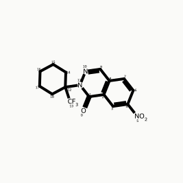 O=c1c2cc([N+](=O)[O-])ccc2cnn1C1(C(F)(F)F)CCCCC1